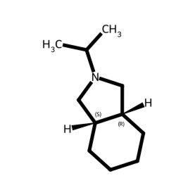 CC(C)N1C[C@H]2CCCC[C@H]2C1